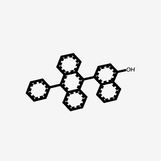 Oc1ccc(-c2c3ccccc3c(-c3ccccc3)c3ccccc23)c2ccccc12